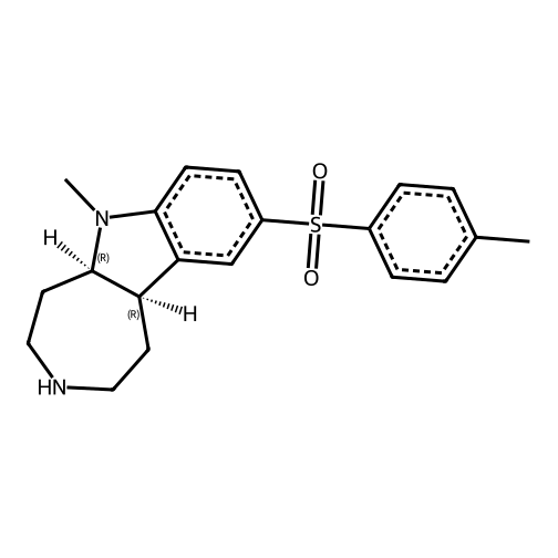 Cc1ccc(S(=O)(=O)c2ccc3c(c2)[C@H]2CCNCC[C@H]2N3C)cc1